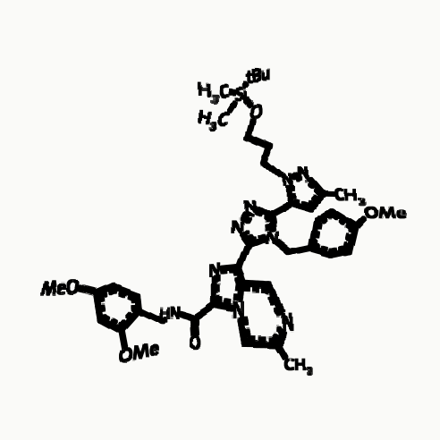 COc1ccc(Cn2c(-c3nc(C(=O)NCc4ccc(OC)cc4OC)n4cc(C)ncc34)nnc2-c2cc(C)nn2CCCO[Si](C)(C)C(C)(C)C)cc1